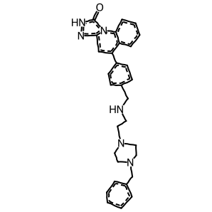 O=c1[nH]nc2cc(-c3ccc(CNCCN4CCN(Cc5ccccc5)CC4)cc3)c3ccccc3n12